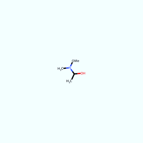 CON(C)C(C)O